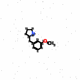 COc1cccc(CC2CCC[N]2)c1